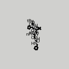 CCCC(NC(=O)[C@@H]1C2C(CN1C(=O)C(NC(=O)OC(C)(C)C)C1CCCC1)C2(C)C)C(=O)C(=O)NCC(=O)NCc1ccccc1